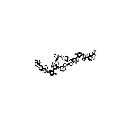 CCC(F)(F)c1cc(C(=O)Nc2ccc(C)c(-c3cc(N4CCOC(OCCOc5nnc(-c6cc(NC(=O)c7ccnc(C(C)(C)F)c7)ccc6C)cc5N5CCOCC5)C4)c(OCCO)nn3)c2)ccn1